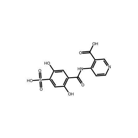 O=C(Nc1ccncc1C(=O)O)c1cc(O)c(S(=O)(=O)O)cc1O